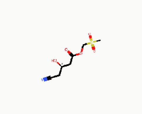 CS(=O)(=O)COC(=O)C[C@H](O)CC#N